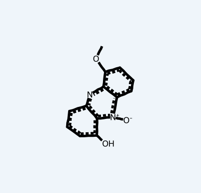 COc1cccc2c1nc1cccc(O)c1[n+]2[O-]